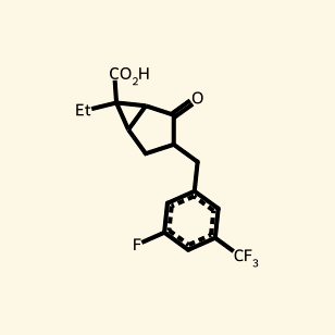 CCC1(C(=O)O)C2CC(Cc3cc(F)cc(C(F)(F)F)c3)C(=O)C21